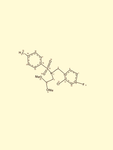 COC(CN(Cc1ccc(F)cc1Cl)S(=O)(=O)c1ccc(C)cc1)OC